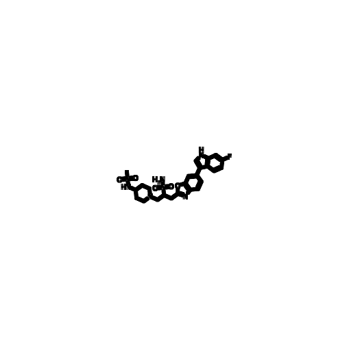 CS(=O)(=O)NC1CCN(CC(Cc2nc3ccc(-c4c[nH]c5cc(F)ccc45)cc3o2)S(N)(=O)=O)CC1